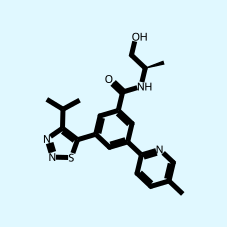 Cc1ccc(-c2cc(C(=O)N[C@H](C)CO)cc(-c3snnc3C(C)C)c2)nc1